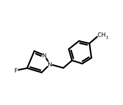 Cc1ccc(Cn2cc(F)cn2)cc1